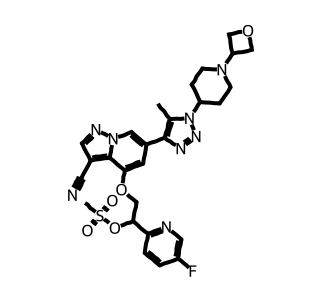 Cc1c(-c2cc(OCC(OS(C)(=O)=O)c3ccc(F)cn3)c3c(C#N)cnn3c2)nnn1C1CCN(C2COC2)CC1